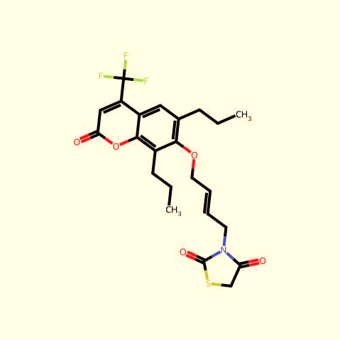 CCCc1cc2c(C(F)(F)F)cc(=O)oc2c(CCC)c1OC/C=C/CN1C(=O)CSC1=O